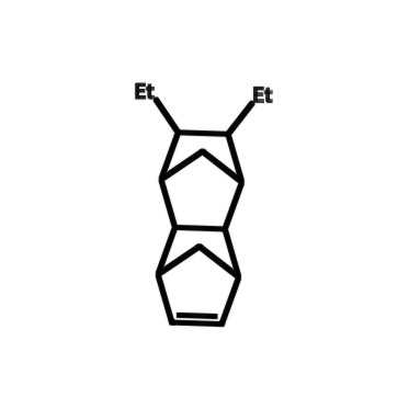 CCC1C(CC)C2CC1C1C3C=CC(C3)C21